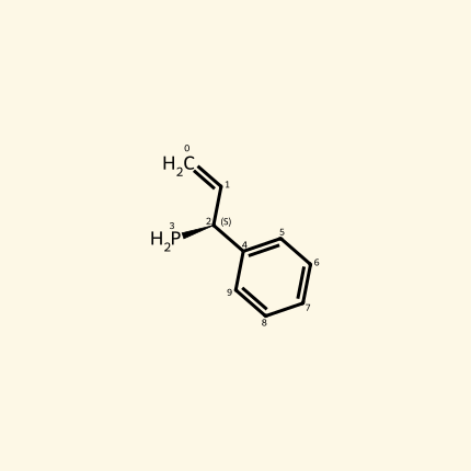 C=C[C@H](P)c1ccccc1